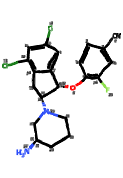 N#Cc1ccc(O[C@H]2c3cc(Cl)cc(Cl)c3C[C@H]2N2CCC[C@@H](N)C2)c(F)c1